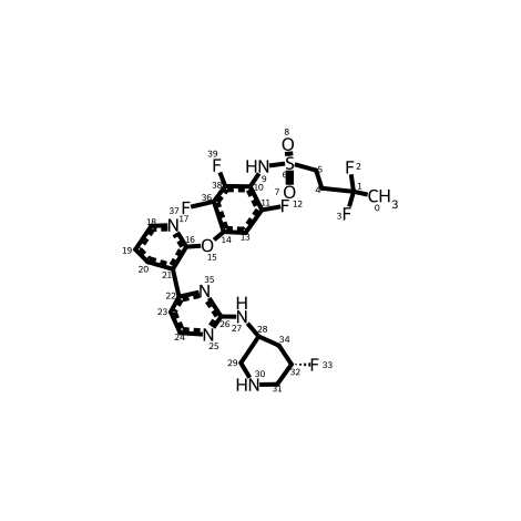 CC(F)(F)CCS(=O)(=O)Nc1c(F)cc(Oc2ncccc2-c2ccnc(NC3CNC[C@@H](F)C3)n2)c(F)c1F